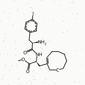 COC(=O)[C@H](C/C1=C/CCCCCCC1)NC(=O)[C@H](N)Cc1ccc(I)cc1